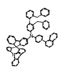 c1ccc(Cc2ccccc2-c2ccc(N(c3ccc(-c4cccc5ccccc45)cc3)c3ccc4c(c3)-c3ccccc3C43c4ccccc4-n4c5ccccc5c5cccc3c54)cc2Cc2ccccc2)cc1